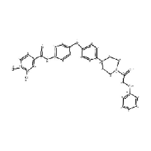 O=C(Nc1ccc(Oc2ccc(N3CCN(C(=O)COc4ccccc4)CC3)cc2)cc1)c1ccc(Cl)c(Cl)c1